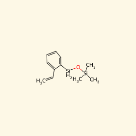 C=Cc1ccccc1[SiH2]O[Si](C)(C)C